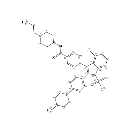 CCCN1CCC(NC(=O)c2ccc(-c3c(-c4ccc(N5CCN(C)CC5)cc4)n(S(C)(=O)=O)c4nccc(Cl)c34)cc2)CC1